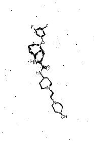 O=C(NC1CCN(CCN2CCC(O)CC2)CC1)c1cc2c(Oc3cc(F)cc(F)c3)cccc2[nH]1